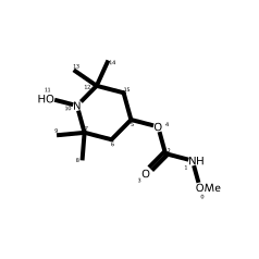 CONC(=O)OC1CC(C)(C)N(O)C(C)(C)C1